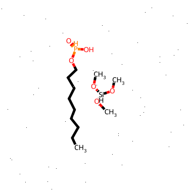 CCCCCCCCCO[PH](=O)O.CO[SiH](OC)OC